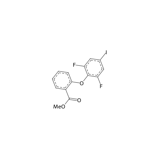 COC(=O)c1ccccc1Oc1c(F)cc(I)cc1F